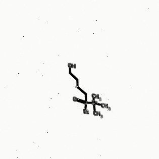 CCP(=O)(C[CH]CCO)[N+](C)(C)C